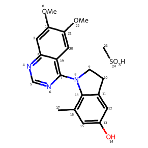 COc1cc2ncnc(N3CCc4cc(O)cc(C)c43)c2cc1OC.CS(=O)(=O)O